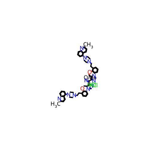 CON=C(c1ncn2c1COc1c(CCN3CCN(c4cccc5nc(C)ccc45)CC3)cccc1-2)c1ncn2c1COc1c(CCN3CCN(c4cccc5nc(C)ccc45)CC3)cccc1-2.Cl.Cl